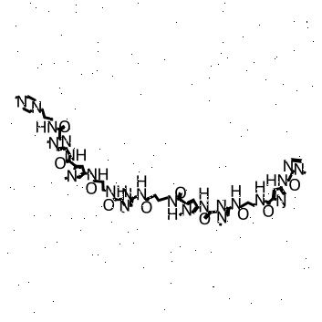 CN1CCN(CCCNC(=O)c2nc(NC(=O)c3cc(NC(=O)CCNC(=O)c4nc(NC(=O)CCCNC(=O)c5cc(NC(=O)c6nc(NC(=O)CCNC(=O)c7cc(NC(=O)c8nccn8C)cn7C)cn6C)cn5C)cn4C)cn3C)cn2C)CC1